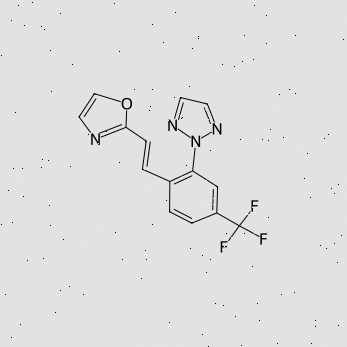 FC(F)(F)c1ccc(C=Cc2ncco2)c(-n2nccn2)c1